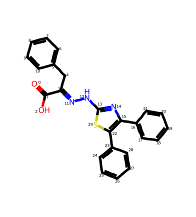 O=C(O)/C(Cc1ccccc1)=N/Nc1nc(-c2ccccc2)c(-c2ccccc2)s1